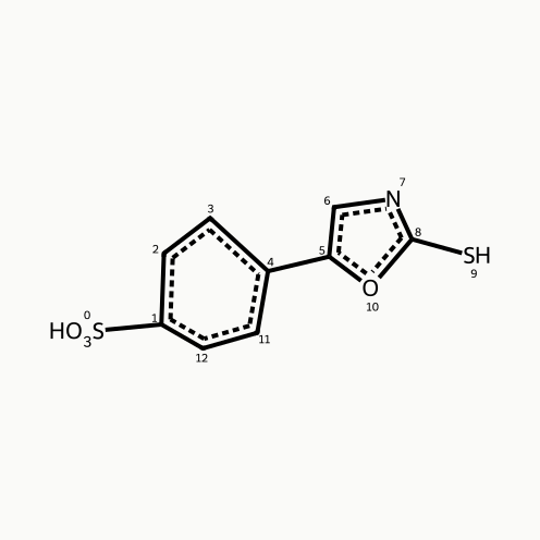 O=S(=O)(O)c1ccc(-c2cnc(S)o2)cc1